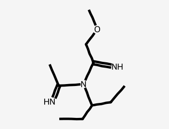 CCC(CC)N(C(C)=N)C(=N)COC